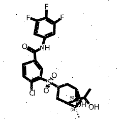 CC(O)[C@]1(O)C2CC(S(=O)(=O)c3cc(C(=O)Nc4cc(F)c(F)c(F)c4)ccc3Cl)CC1[C@@H](C)C2